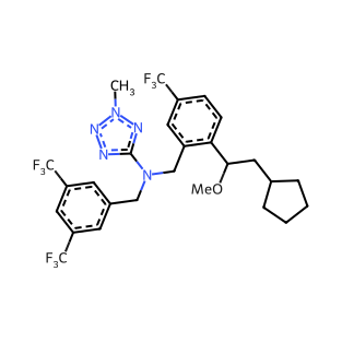 COC(CC1CCCC1)c1ccc(C(F)(F)F)cc1CN(Cc1cc(C(F)(F)F)cc(C(F)(F)F)c1)c1nnn(C)n1